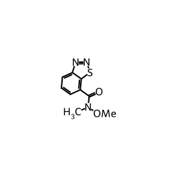 CON(C)C(=O)c1cccc2nnsc12